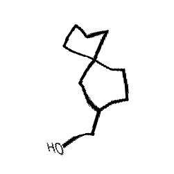 OCC1CCC2(CCC2)C1